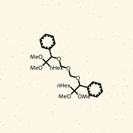 CCCCCCC(OC)(OC)C(OCOCOC(c1ccccc1)C(CCCCCC)(OC)OC)c1ccccc1